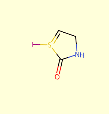 O=C1NCC=S1I